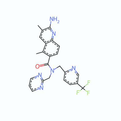 Cc1cc2c(C)c(C(=O)N(Cc3ccc(C(F)(F)F)cn3)Cc3ncccn3)ccc2nc1N